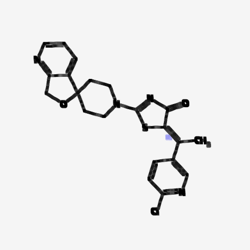 C/C(=C1/SC(N2CCC3(CC2)OCc2ncccc23)=NC1=O)c1ccc(Cl)nc1